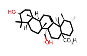 C[C@H]1[C@H](C)CC[C@]2(C(=O)O)CC[C@]3(CO)C(=CC[C@@H]4[C@@]5(C)CC[C@@H](O)C(C)(C)[C@@H]5CC[C@]43C)[C@H]12